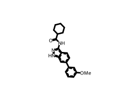 COc1cccc(-c2ccc3c(NC(=O)C4CCCCC4)n[nH]c3c2)c1